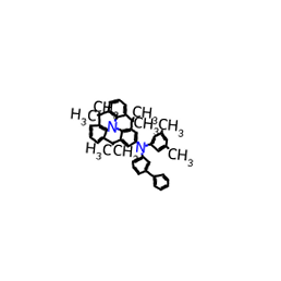 Cc1cc(C)cc(N(c2cccc(-c3ccccc3)c2)c2cc3c4c(c2)C(C)(C)c2cccc5c2N4c2c(cccc2C3(C)C)C5(C)C)c1